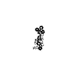 O=C(C1C[N@@]1C(c1ccccc1)(c1ccccc1)c1ccccc1)N1CCN2c3ncnc4cc(-c5c(O)cccc5F)c(Cl)c(c34)OC[C@@H]2C1